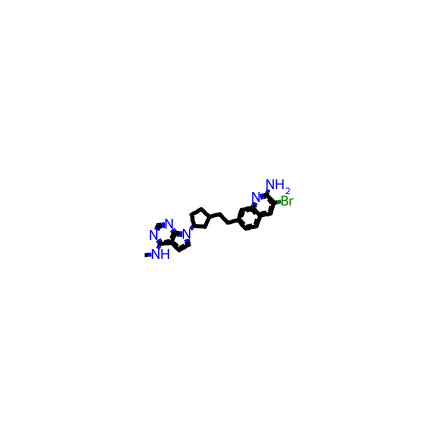 CNc1ncnc2c1ccn2C1CCC(CCc2ccc3cc(Br)c(N)nc3c2)C1